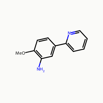 COc1ccc(-c2ccccn2)cc1N